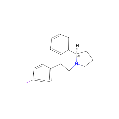 Ic1ccc(C2CN3CCC[C@@H]3c3ccccc32)cc1